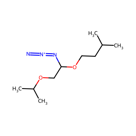 CC(C)CCOC(COC(C)C)N=[N+]=[N-]